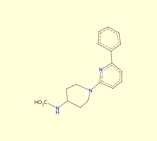 O=C(O)NC1CCN(c2cccc(-c3ccccc3)n2)CC1